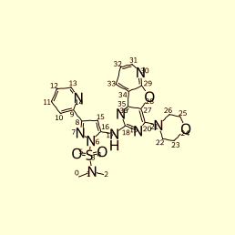 CN(C)S(=O)(=O)n1nc(-c2ccccn2)cc1Nc1nc(N2CCOCC2)c2oc3ncccc3c2n1